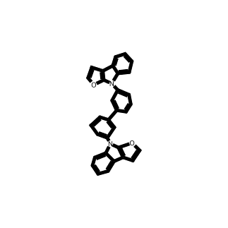 c1cc(-c2cccc(-n3c4ccccc4c4ccoc43)c2)cc(-n2c3ccccc3c3ccoc32)c1